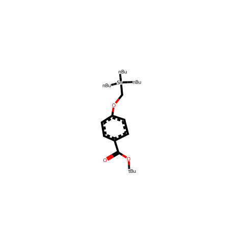 CCC[CH2][Sn]([CH2]CCC)([CH2]CCC)[CH2]Oc1ccc(C(=O)OC(C)(C)C)cc1